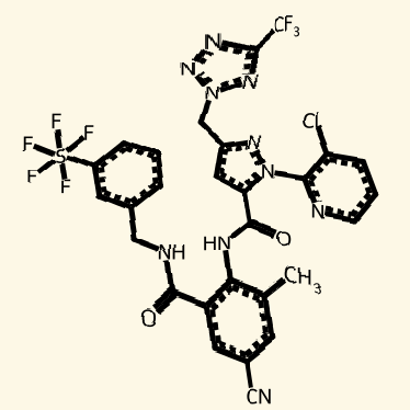 Cc1cc(C#N)cc(C(=O)NCc2cccc(S(F)(F)(F)(F)F)c2)c1NC(=O)c1cc(Cn2nnc(C(F)(F)F)n2)nn1-c1ncccc1Cl